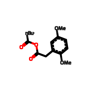 CCC[CH]C(=O)OC(=O)Cc1cc(OC)ccc1OC